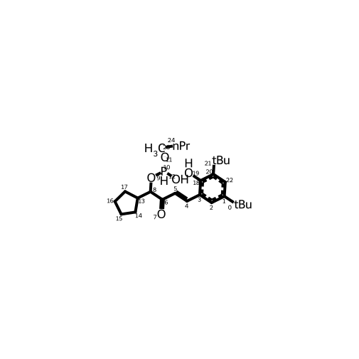 CC(C)(C)c1cc(/C=C/C(=O)C(O[PH](=O)O)C2CCCC2)c(O)c(C(C)(C)C)c1.CCCC